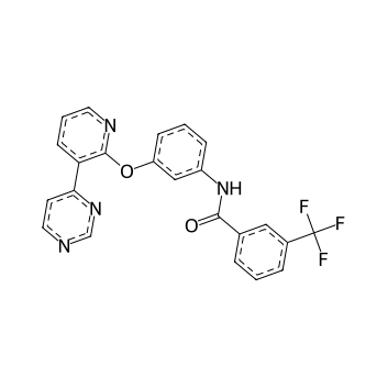 O=C(Nc1cccc(Oc2ncccc2-c2ccncn2)c1)c1cccc(C(F)(F)F)c1